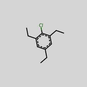 CCc1cc(CC)c(Cl)c(CC)c1